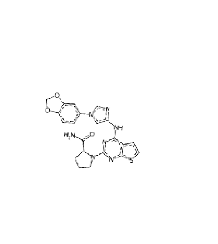 NC(=O)C1CCCN1c1nc(Nc2cn(-c3ccc4c(c3)OCO4)cn2)c2ccsc2n1